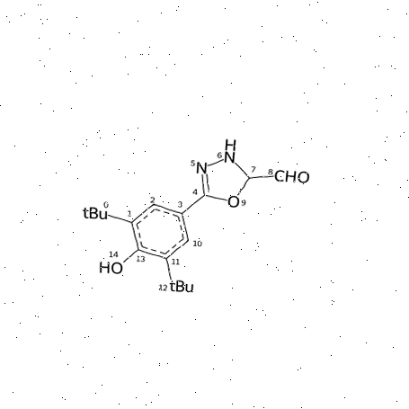 CC(C)(C)c1cc(C2=NNC(C=O)O2)cc(C(C)(C)C)c1O